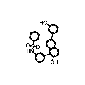 O=S(=O)(Nc1cccc(-c2c(O)ccc3cc(-c4cccc(O)c4)ccc23)c1)c1cc[c]cc1